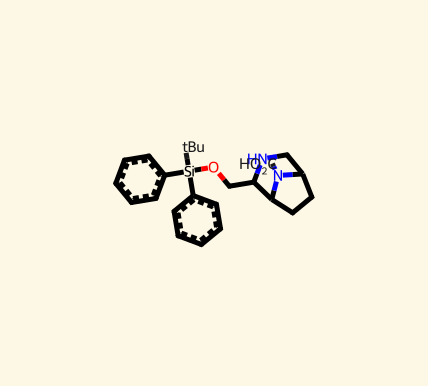 CC(C)(C)[Si](OCC1NCC2CCC1N2C(=O)O)(c1ccccc1)c1ccccc1